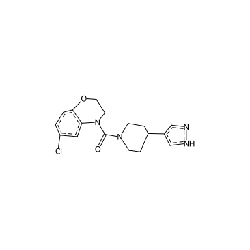 O=C(N1CCC(c2cn[nH]c2)CC1)N1CCOc2ccc(Cl)cc21